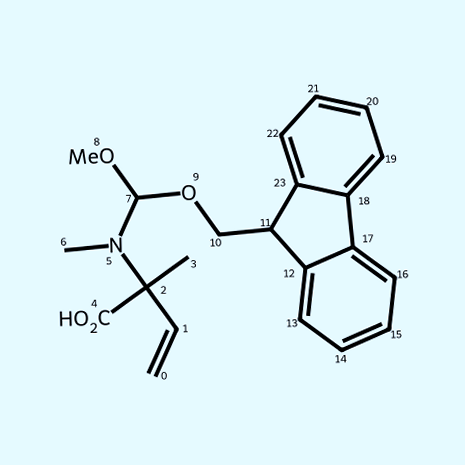 C=CC(C)(C(=O)O)N(C)C(OC)OCC1c2ccccc2-c2ccccc21